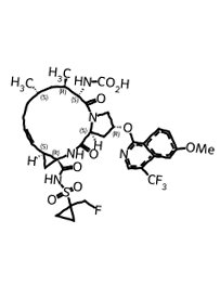 COc1ccc2c(O[C@@H]3C[C@H]4C(=O)N[C@]5(C(=O)NS(=O)(=O)C6(CF)CC6)C[C@H]5C=CCC[C@H](C)C[C@@H](C)[C@H](NC(=O)O)C(=O)N4C3)ncc(C(F)(F)F)c2c1